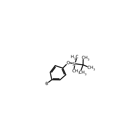 [B]c1ccc(O[Si](C)(C)C(C)(C)C)cc1